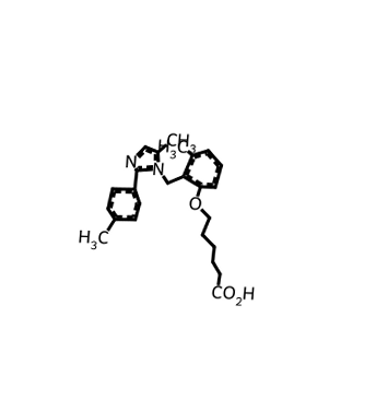 Cc1ccc(-c2ncc(C)n2Cc2c(C)cccc2OCCCCCC(=O)O)cc1